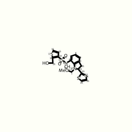 COCN1c2c(cccc2N(C)S(=O)(=O)c2ccsc2CO)CC1c1nccs1